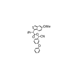 COc1ccc2c(C(C(=O)OC(C#N)c3cccc(Oc4ccccc4)c3)C(C)C)scc2c1